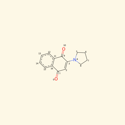 O=C1C=C(N2CCCC2)C(=O)c2ccccc21